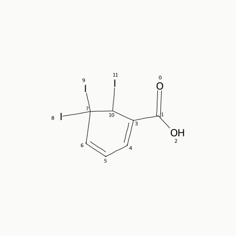 O=C(O)C1=CC=CC(I)(I)C1I